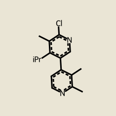 Cc1nccc(-c2cnc(Cl)c(C)c2C(C)C)c1C